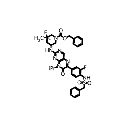 CC(C)n1c(=O)c(-c2ccc(NS(=O)(=O)Cc3ccccc3)c(F)c2)nc2cnc(N[C@@H]3CN(C(=O)OCc4ccccc4)C[C@@](C)(F)C3)nc21